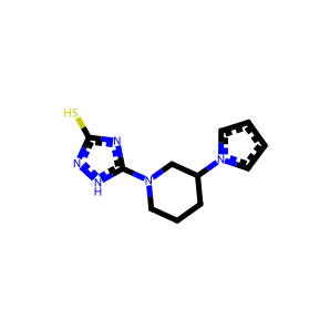 Sc1n[nH]c(N2CCCC(n3cccc3)C2)n1